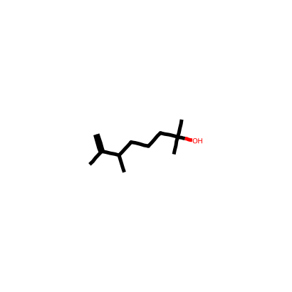 C=C(C)C(C)CCCC(C)(C)O